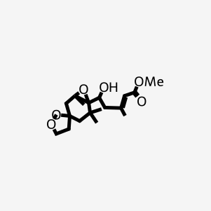 COC(=O)C=C(C)CC(O)C12OC1(C)CC1(CCOO1)CC2(C)C